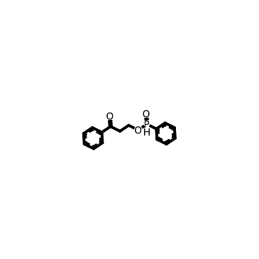 O=C(CCO[PH](=O)c1ccccc1)c1ccccc1